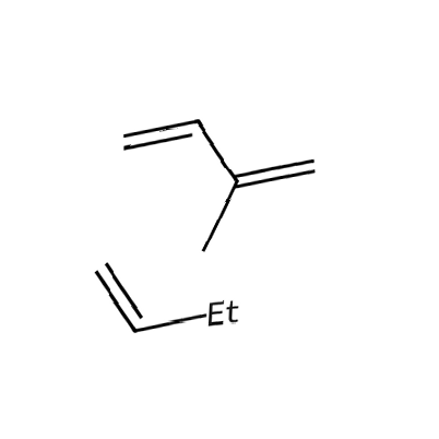 C=CC(=C)C.C=CCC